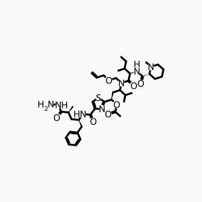 C=CCOCN(C(=O)[C@@H](NC(=O)[C@H]1CCCCN1C)C(C)CC)C(C[C@@H](OC(C)=O)c1nc(C(=O)N[C@@H](Cc2ccccc2)C[C@H](C)C(=O)NN)cs1)C(C)C